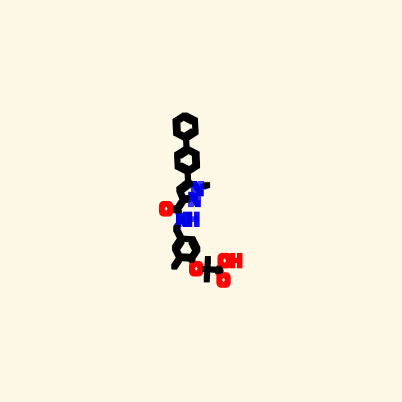 Cc1cc(CNC(=O)c2cc(-c3ccc(-c4ccccc4)cc3)n(C)n2)ccc1OC(C)(C)C(=O)O